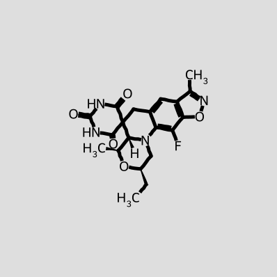 CC[C@@H]1CN2c3c(cc4c(C)noc4c3F)CC3(C(=O)NC(=O)NC3=O)[C@H]2[C@H](C)O1